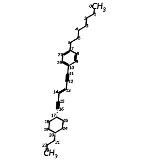 CCCCCCCc1ccc(C#C/C=C/C#C[C@H]2CC[C@H](CCC)CC2)cc1